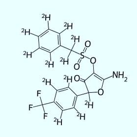 [2H]c1c([2H])c([2H])c(C([2H])([2H])S(=O)(=O)OC2=C(N)OC([2H])(c3c([2H])c([2H])c(C(F)(F)F)c([2H])c3[2H])C2=O)c([2H])c1[2H]